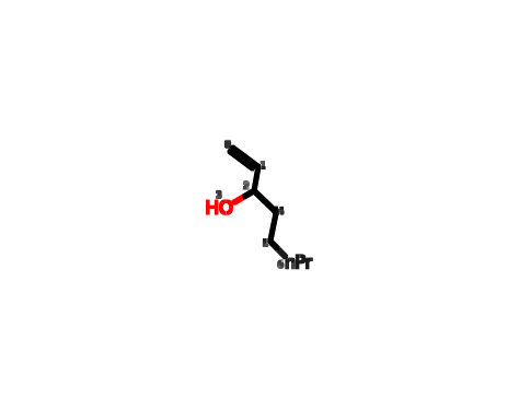 C=CC(O)[CH]CCCC